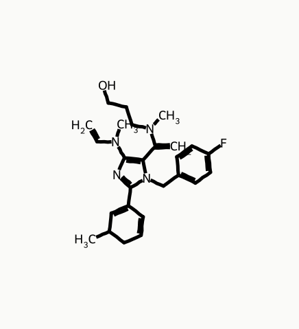 C=CN(C)c1nc(C2=CC(C)CC=C2)n(Cc2ccc(F)cc2)c1C(=C)N(C)CCCO